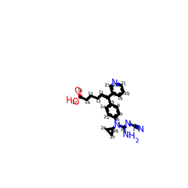 N#CN=C(N)N(c1ccc(/C(=C\CCCC(=O)O)c2cccnc2)cc1)C1CC1